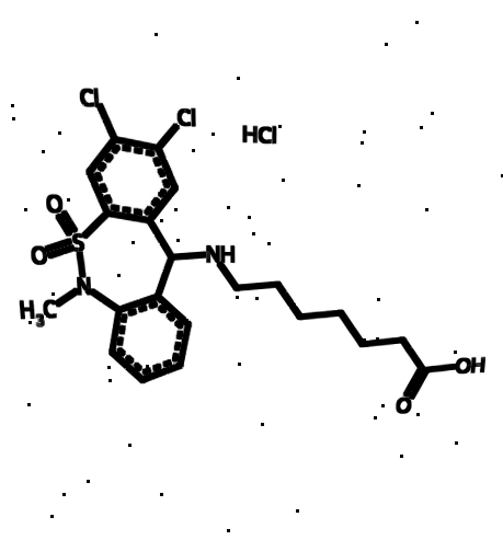 CN1c2ccccc2C(NCCCCCCC(=O)O)c2cc(Cl)c(Cl)cc2S1(=O)=O.Cl